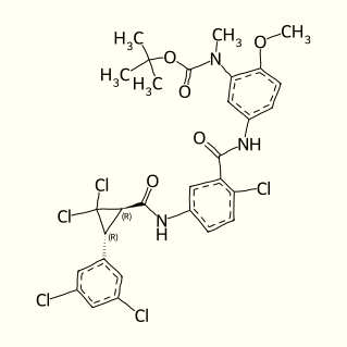 COc1ccc(NC(=O)c2cc(NC(=O)[C@H]3[C@H](c4cc(Cl)cc(Cl)c4)C3(Cl)Cl)ccc2Cl)cc1N(C)C(=O)OC(C)(C)C